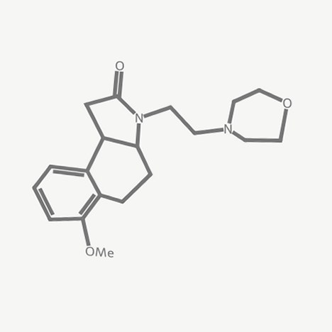 COc1cccc2c1CCC1C2CC(=O)N1CCN1CCOCC1